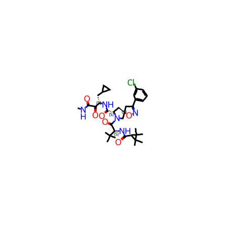 CNC(=O)C(=O)[C@H](CC1CC1)NC(=O)[C@@H]1C[C@]2(CC(c3cccc(Cl)c3)=NO2)CN1C(=O)[C@@H](NC(=O)C1C(C)(C)C1(C)C)C(C)(C)C